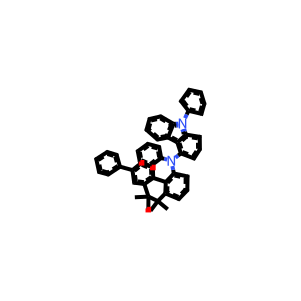 CC1(C)c2cc(-c3ccccc3)ccc2-c2c(N(c3ccccc3)c3cccc4c3c3ccccc3n4-c3ccccc3)cccc2C1(C)C